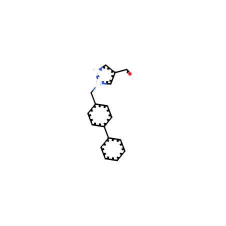 O=Cc1cnn(Cc2ccc(-c3ccccc3)cc2)c1